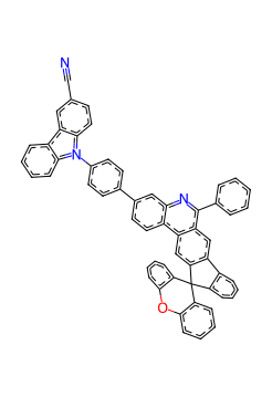 N#Cc1ccc2c(c1)c1ccccc1n2-c1ccc(-c2ccc3c(c2)nc(-c2ccccc2)c2cc4c(cc23)C2(c3ccccc3Oc3ccccc32)c2ccccc2-4)cc1